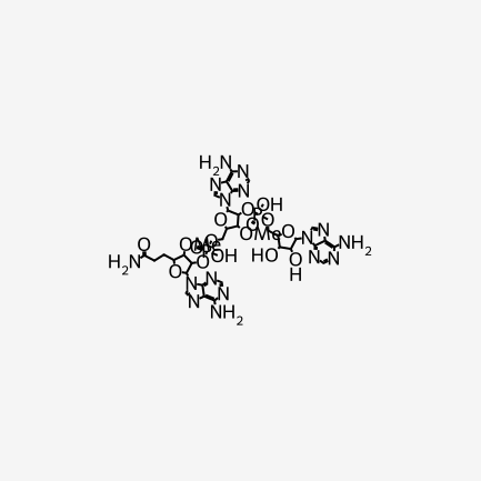 COC1C(CCC(N)=O)OC(n2cnc3c(N)ncnc32)C1OP(=O)(O)OCC1OC(n2cnc3c(N)ncnc32)C(OP(=O)(O)OCC2OC(n3cnc4c(N)ncnc43)C(O)C2O)C1OC